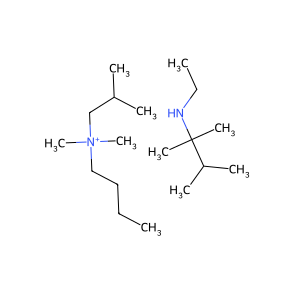 CCCC[N+](C)(C)CC(C)C.CCNC(C)(C)C(C)C